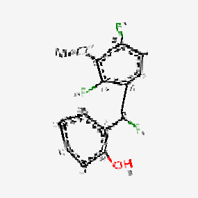 COc1c(F)ccc(C(F)c2ccccc2O)c1F